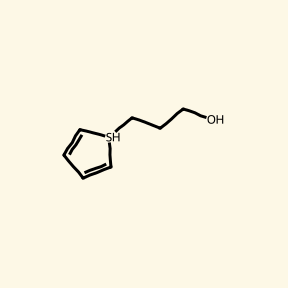 OCCC[SH]1C=CC=C1